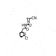 N#CC1CN1C(=O)NC(=O)Cc1cccc(Cl)n1